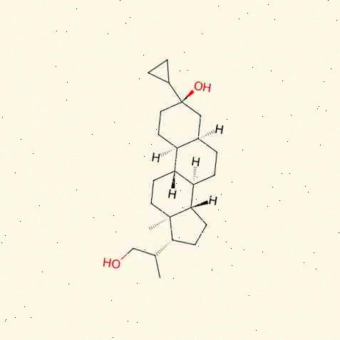 CC(CO)[C@H]1CC[C@H]2[C@@H]3CC[C@@H]4C[C@@](O)(C5CC5)CC[C@@H]4[C@H]3CC[C@]12C